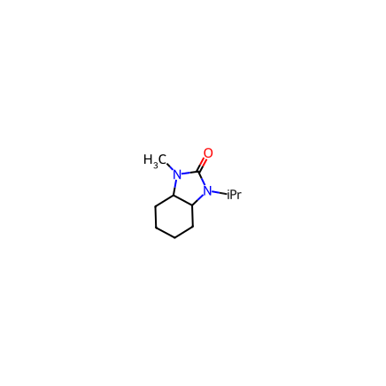 CC(C)N1C(=O)N(C)C2CCCCC21